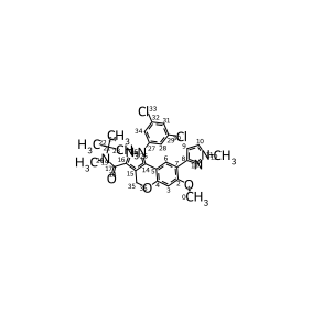 COc1cc2c(cc1-c1ccn(C)n1)-c1c(c(C(=O)N(C)C(C)(C)C)nn1-c1cc(Cl)cc(Cl)c1)CO2